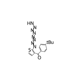 CC(C)(C)c1ccc(C(=O)c2ccsc2N=NN=NN=NN=N)cc1